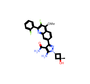 COc1c(F)c(-c2ccccc2F)nc2cc(-c3nn([C@H]4C[C@@](C)(O)C4)c(N)c3C(N)=O)ccc12